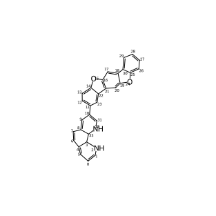 C1=CNC2C(=C1)C=CC1=CC(c3ccc4oc5cc6c(cc5c4c3)oc3ccccc36)=CNC12